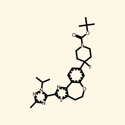 Cc1nc(-c2nc3c(s2)CCOc2cc(C4(F)CCN(C(=O)OC(C)(C)C)CC4)ccc2-3)n(C(C)C)n1